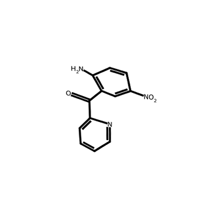 Nc1ccc([N+](=O)[O-])cc1C(=O)c1ccccn1